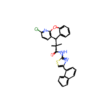 CC(C)(C(=O)Nc1nc(-c2cccc3ccccc23)cs1)C1c2ccccc2Oc2nc(Cl)ccc21